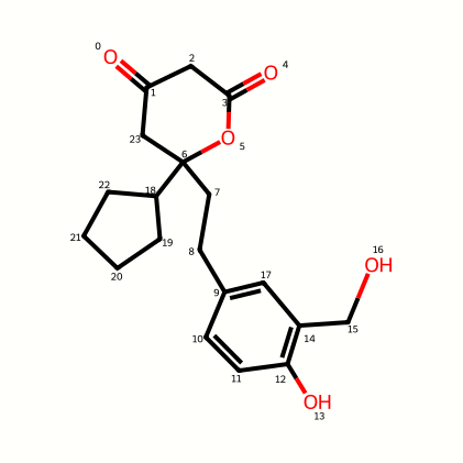 O=C1CC(=O)OC(CCc2ccc(O)c(CO)c2)(C2CCCC2)C1